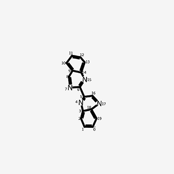 [c]1ccc2nc(-c3ncc4ccccc4n3)cnc2c1